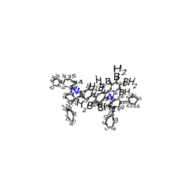 Bc1c(B)c(B)c2c(c1B)c1c(B)c(-c3ccc4c(c3)c3cc(-c5ccccc5)ccc3n4-c3cccc(-c4ccccc4)c3)c(B)c(B)c1n2-c1cc(-c2ccccc2)cc(-c2ccccc2)c1